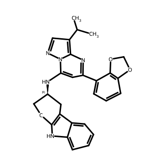 CC(C)c1cnn2c(N[C@@H]3CCc4[nH]c5ccccc5c4C3)cc(-c3cccc4c3OCO4)nc12